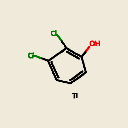 Oc1cccc(Cl)c1Cl.[Ti]